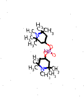 CN1C(C)(C)CC(O[PH](=O)OC2CC(C)(C)N(C)C(C)(C)C2)CC1(C)C